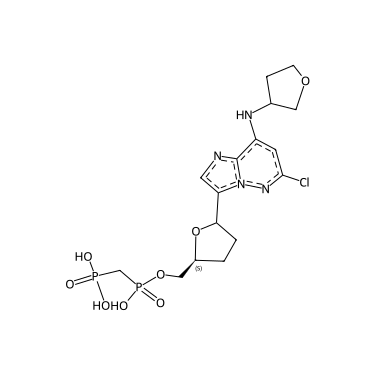 O=P(O)(O)CP(=O)(O)OC[C@@H]1CCC(c2cnc3c(NC4CCOC4)cc(Cl)nn23)O1